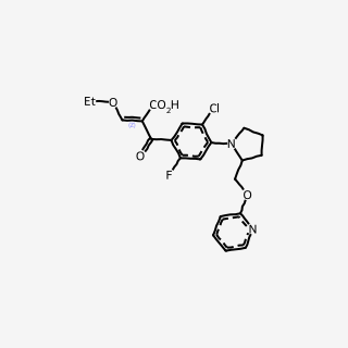 CCO/C=C(\C(=O)O)C(=O)c1cc(Cl)c(N2CCCC2COc2ccccn2)cc1F